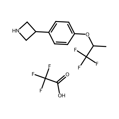 CC(Oc1ccc(C2CNC2)cc1)C(F)(F)F.O=C(O)C(F)(F)F